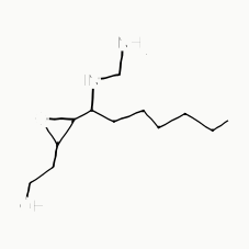 CCCCCCC(NCN)C1OC1CCO